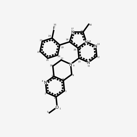 COc1cnc2c(c1)CN(c1ncnn3c(C)nc(-c4ccccc4F)c13)CC2